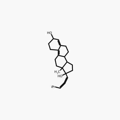 CC(C)C=C=CC1(O)CCC2C3CCC4=CC(O)CCC4=C3CCC21C